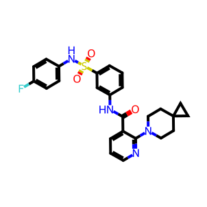 O=C(Nc1cccc(S(=O)(=O)Nc2ccc(F)cc2)c1)c1cccnc1N1CCC2(CC1)CC2